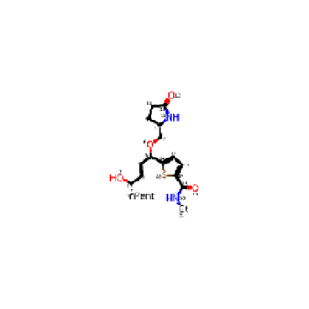 CCCCC[C@H](O)CCC(OC[C@H]1CCC(=O)N1)c1ccc(C(=O)NCC)s1